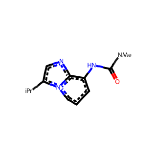 CNC(=O)Nc1cccn2c(C(C)C)cnc12